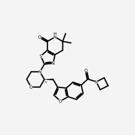 CC1(C)Cc2nc(N3CCOC[C@@H]3Cc3coc4ccc(C(=O)N5CCC5)cc34)sc2C(=O)N1